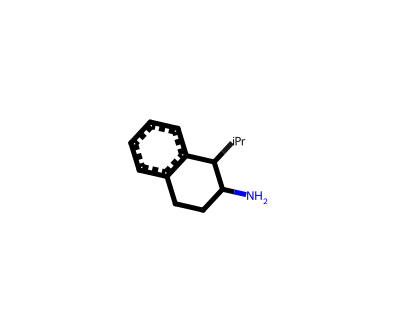 CC(C)C1c2ccccc2CCC1N